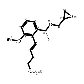 CCOC(=O)CC/C=C/c1c(OC(C)C)cccc1[C@@H](C)OCC1CO1